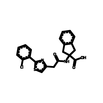 O=C(Cc1csc(-c2ccccc2Cl)n1)NC1(C(=O)O)Cc2ccccc2C1